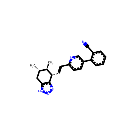 C[C@H]1[C@H](/C=C/c2ccc(-c3ccccc3C#N)cn2)c2nn[nH]c2C[C@@H]1C